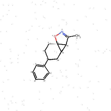 CC1=NO[C@]23CCC(c4ccccc4)CC2C13